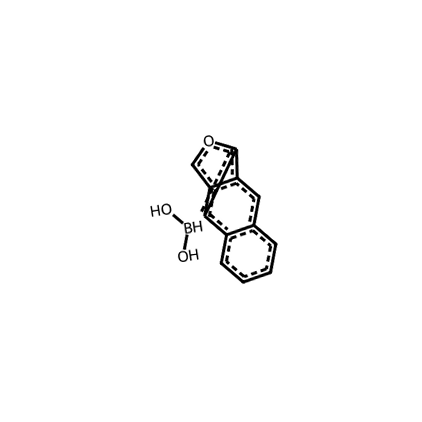 OBO.c1ccc2c(c1)cc1c3coc1c23